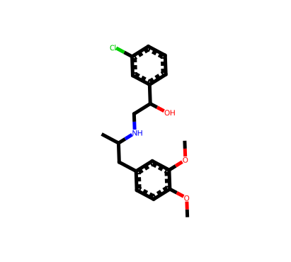 COc1ccc(CC(C)NCC(O)c2cccc(Cl)c2)cc1OC